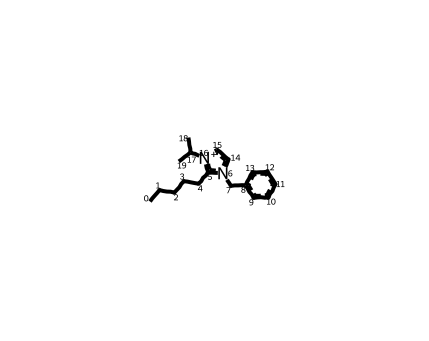 CCCCCc1n(Cc2ccccc2)cc[n+]1C(C)C